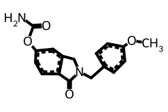 COc1ccc(CN2Cc3cc(OC(N)=O)ccc3C2=O)cc1